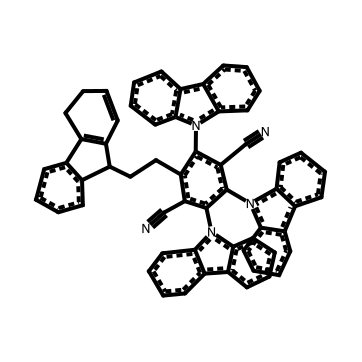 N#Cc1c(CCC2C3=C(CCC=C3)c3ccccc32)c(-n2c3ccccc3c3ccccc32)c(C#N)c(-n2c3ccccc3c3ccccc32)c1-n1c2ccccc2c2ccccc21